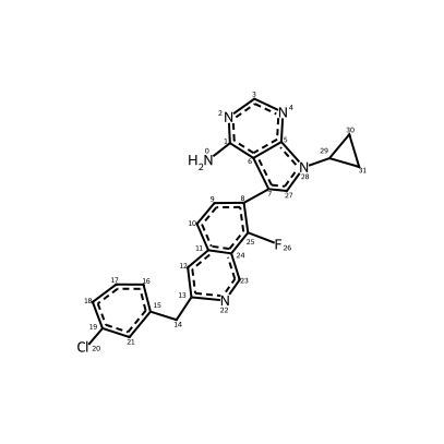 Nc1ncnc2c1c(-c1ccc3cc(Cc4cccc(Cl)c4)ncc3c1F)cn2C1CC1